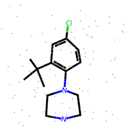 CC(C)(C)c1cc(Cl)ccc1N1CC[N]CC1